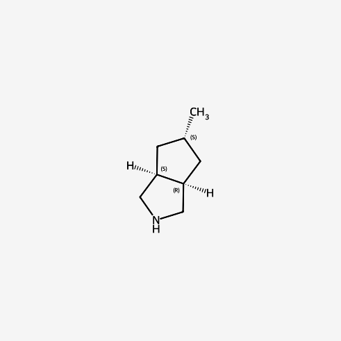 C[C@@H]1C[C@H]2CNC[C@H]2C1